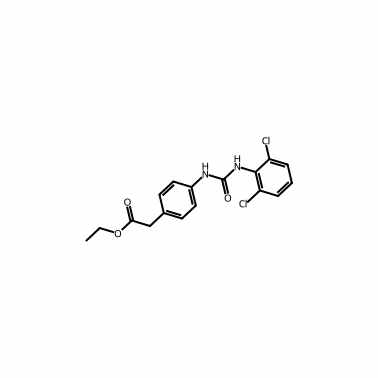 CCOC(=O)Cc1ccc(NC(=O)Nc2c(Cl)cccc2Cl)cc1